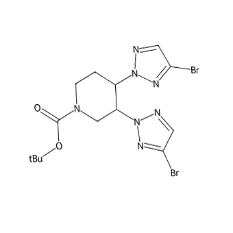 CC(C)(C)OC(=O)N1CCC(n2ncc(Br)n2)C(n2ncc(Br)n2)C1